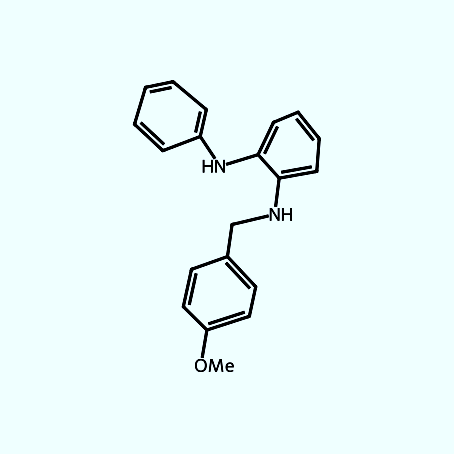 COc1ccc(CNc2ccccc2Nc2ccccc2)cc1